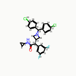 O=C(NC1CC1)[C@H](c1cc(F)cc(F)c1)C1CN(C(c2ccc(Cl)cc2)c2ccc(Cl)cc2)C1